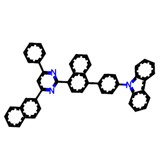 c1ccc(-c2cc(-c3ccc4ccccc4c3)nc(-c3ccc(-c4ccc(-n5c6ccccc6c6ccccc65)cc4)c4ccccc34)n2)cc1